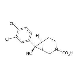 N#C[C@]1(c2ccc(Cl)c(Cl)c2)C2CN(C(=O)O)CC[C@@H]21